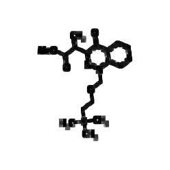 C=C(C(=O)OC)c1nn(COCCS(C)(C)C)c2ccccc2c1=O